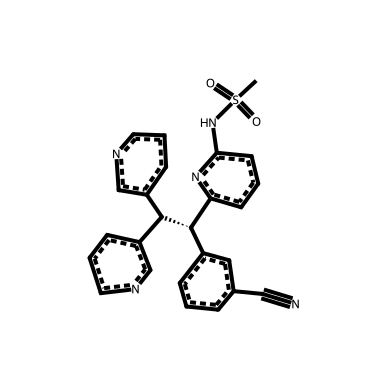 CS(=O)(=O)Nc1cccc([C@H](c2cccc(C#N)c2)C(c2cccnc2)c2cccnc2)n1